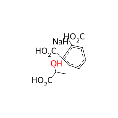 CC(O)C(=O)O.O=C(O)c1ccccc1C(=O)O.[NaH]